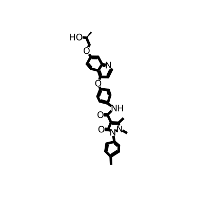 Cc1ccc(-n2c(=O)c(C(=O)Nc3ccc(Oc4ccnc5cc(OC[C@H](C)O)ccc45)cc3)c(C)n2C)cc1